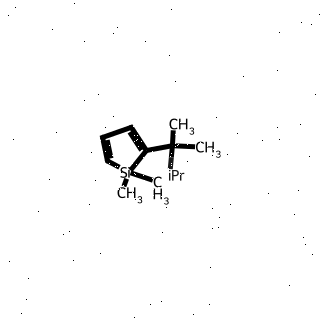 CC(C)C(C)(C)C1=CC=C[Si]1(C)C